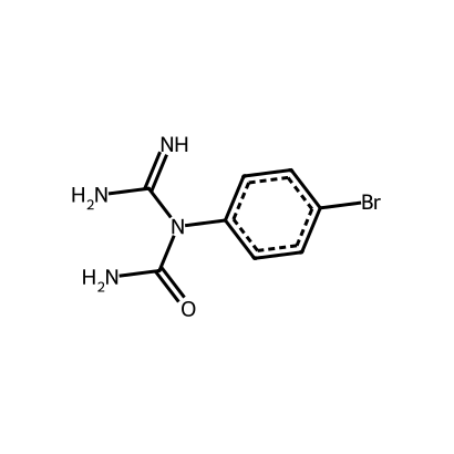 N=C(N)N(C(N)=O)c1ccc(Br)cc1